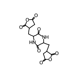 O=C1CC(CC2NC(=O)C(CC3CC(=O)OC3=O)NC2=O)C(=O)O1